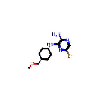 COC[C@H]1CC[C@H](Nc2nc(Br)cnc2N)CC1